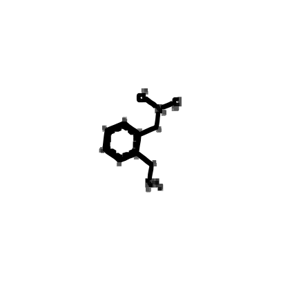 NCc1ccccc1CN(Cl)Cl